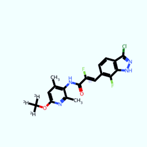 [2H]C([2H])([2H])Oc1cc(C)c(NC(=O)/C(F)=C/c2ccc3c(Cl)n[nH]c3c2F)c(C)n1